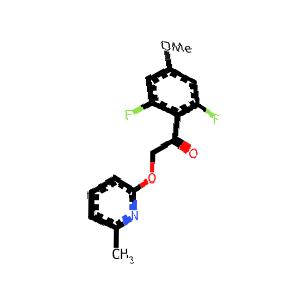 COc1cc(F)c(C(=O)COc2cccc(C)n2)c(F)c1